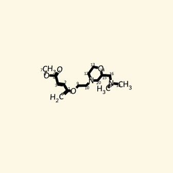 C=C(/C=C/C(=O)OC)OCCN1CCOC(CN(C)C)C1